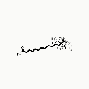 C[Si](C)(C)C(CCCCCCCCCCCC(=O)O)(C(=O)O)[Si](C)(C)C